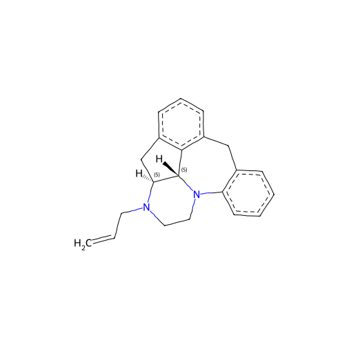 C=CCN1CCN2c3ccccc3Cc3cccc4c3[C@H]2[C@@H]1C4